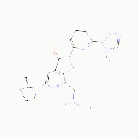 CC(C)n1cnnc1-c1cccc(N2Cc3c(cc(N4[C@H](C)CC[C@H]4C)nc3CN(C)C(=O)O)C2=O)n1